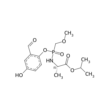 COCP(=O)(N[C@@H](C)C(=O)OC(C)C)Oc1ccc(O)cc1C=O